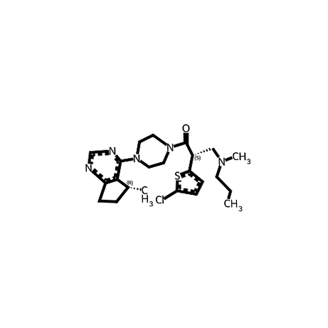 CCCN(C)C[C@@H](C(=O)N1CCN(c2ncnc3c2[C@H](C)CC3)CC1)c1ccc(Cl)s1